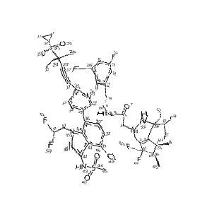 C[C@@H]1C2=C(N(CC(=O)N[C@@H](Cc3cc(F)cc(F)c3)c3nc(C#CC(C)(C)S(=O)(=O)C4CC4)ccc3-c3ccc(Cl)c4c(NS(C)(=O)=O)nn(CC(F)F)c34)NC2(C)C(F)F)C(F)(F)[C@@H]1C